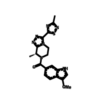 COc1c[nH]c2cc(C(=O)N3CCn4c(-c5nc(C)ns5)nnc4[C@H]3C)ccc12